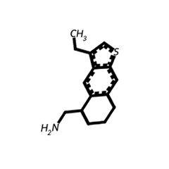 CCc1csc2cc3c(cc12)C(CN)CCC3